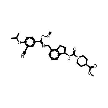 C=NO/C(=N\Cc1cccc2c1CCC2NC(=O)N1CCC(C(=O)OC)CC1)c1ccc(OC(C)C)c(C#N)c1